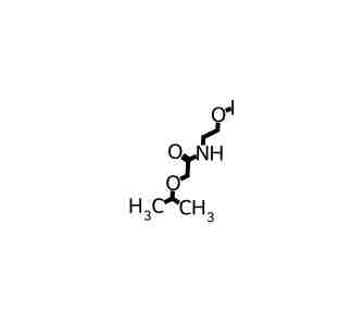 CC(C)OCC(=O)NCCOI